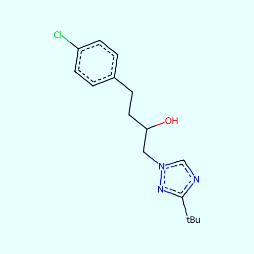 CC(C)(C)c1ncn(CC(O)CCc2ccc(Cl)cc2)n1